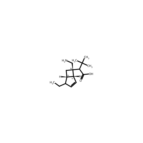 CCC1C=C[C@@H]2[C@H]1C[C@]2(CN)C(C(=O)O)C(C)(C)C